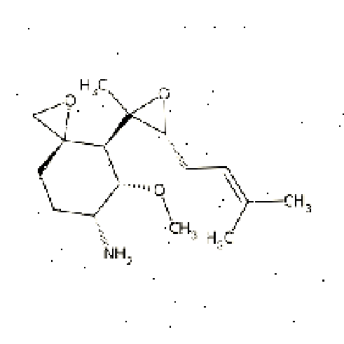 CO[C@@H]1[C@H](N)CC[C@]2(CO2)[C@H]1C1(C)O[C@@H]1CC=C(C)C